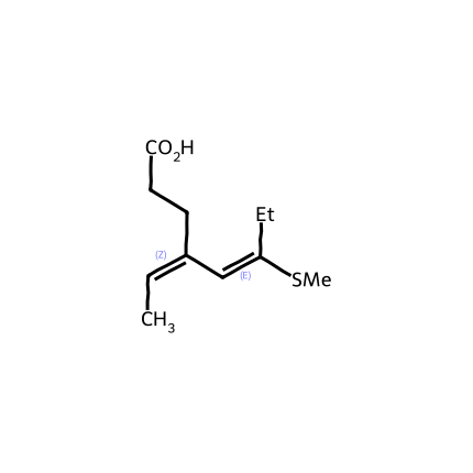 C/C=C(\C=C(/CC)SC)CCC(=O)O